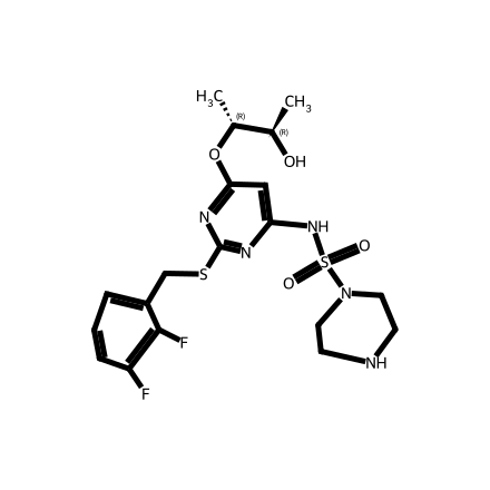 C[C@@H](O)[C@@H](C)Oc1cc(NS(=O)(=O)N2CCNCC2)nc(SCc2cccc(F)c2F)n1